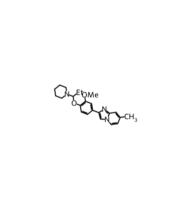 CCC(Oc1ccc(-c2cn3ccc(C)cc3n2)cc1OC)N1CCCCC1